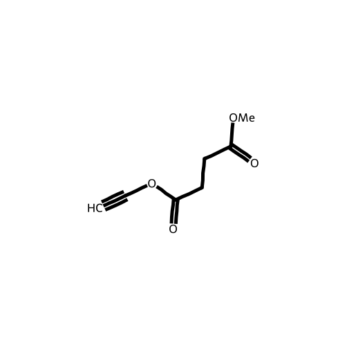 C#COC(=O)CCC(=O)OC